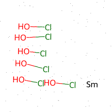 OCl.OCl.OCl.OCl.OCl.OCl.[Sm]